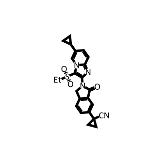 CCS(=O)(=O)c1c(N2Cc3ccc(C4(C#N)CC4)cc3C2=O)nc2ccc(C3CC3)cn12